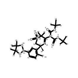 CC(C)(C)OC(=O)N(C(=O)OC(C)(C)C)C1=N[C@](C)(c2cc(B3OC(C)(C)C(C)(C)O3)ccc2F)CS(=O)(=O)C1(C)C